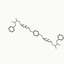 CC(CC=C=C=CCc1ccc(CC=C=C=CCC(C)C(C)Cc2ccccc2)cc1)C(C)Cc1ccccc1